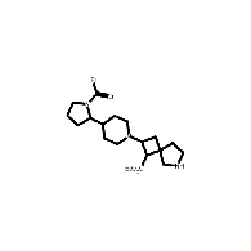 CCOC(=O)C1C(N2CCC(C3CCCN3C(=O)CC)CC2)CC12CCNC2